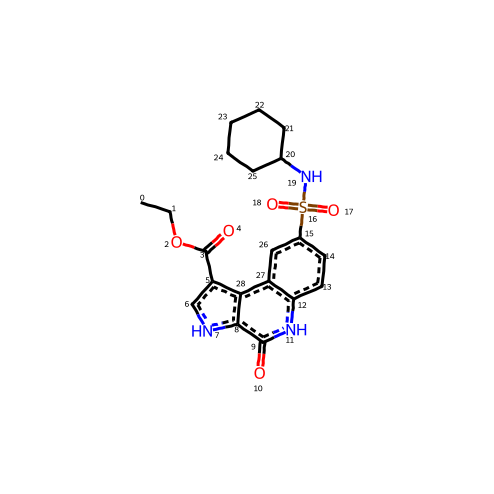 CCOC(=O)c1c[nH]c2c(=O)[nH]c3ccc(S(=O)(=O)NC4CCCCC4)cc3c12